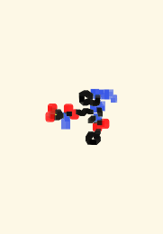 CCN(Cc1nc2c(N)nc3ccccc3c2n1CCCCOC(=O)NC1CS(=O)(=O)C1)C(=O)OCc1ccccc1